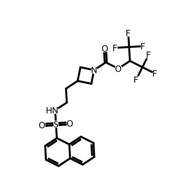 O=C(OC(C(F)(F)F)C(F)(F)F)N1CC(CCNS(=O)(=O)c2cccc3ccccc23)C1